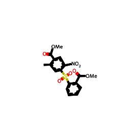 COC(=O)c1cc([N+](=O)[O-])c(S(=O)(=O)c2ccccc2C(=O)OC)cc1C